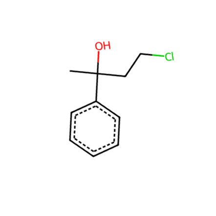 CC(O)(CCCl)c1ccccc1